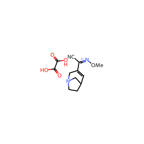 CO/N=C(/C#N)C1=CC2CCN(C1)C2.O=C(O)C(=O)O